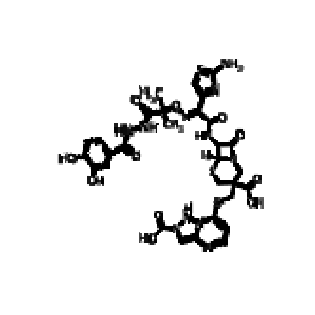 CC(C)(ON=C(C(=O)NC1C(=O)N2CC(CSC3=CC=NC4=CN(C(=O)O)NN43)(C(=O)O)CS[C@H]12)c1csc(N)n1)C(=O)NNC(=O)c1ccc(O)c(O)c1